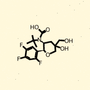 CC(C)(C)N(C(=O)O)[C@H]1CC(O)(CO)CO[C@H]1c1cc(F)c(F)cc1F